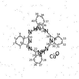 [O]=[Cu].c1ccc2c(c1)-c1nc-2nc2[nH]c(nc3nc(nc4[nH]c(n1)c1ccccc41)-c1ccccc1-3)c1ccccc21